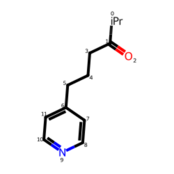 CC(C)C(=O)CCCc1ccncc1